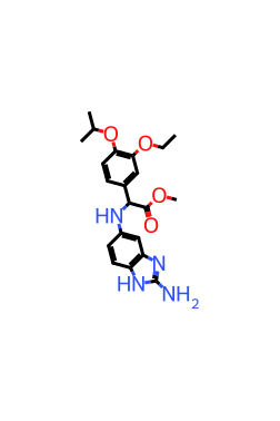 CCOc1cc(C(Nc2ccc3[nH]c(N)nc3c2)C(=O)OC)ccc1OC(C)C